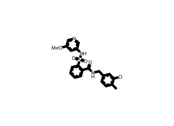 COc1cncc(NS(=O)(=O)c2ccccc2C(=O)NCc2ccc(C)c(Cl)c2)c1